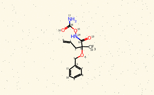 C=CCC(OCc1ccccc1)(C(=O)NOC(N)=O)C(F)(F)F